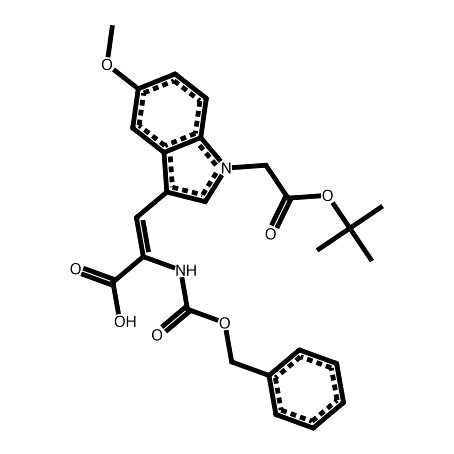 COc1ccc2c(c1)c(C=C(NC(=O)OCc1ccccc1)C(=O)O)cn2CC(=O)OC(C)(C)C